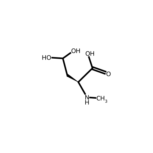 CN[C@@H](CC(O)O)C(=O)O